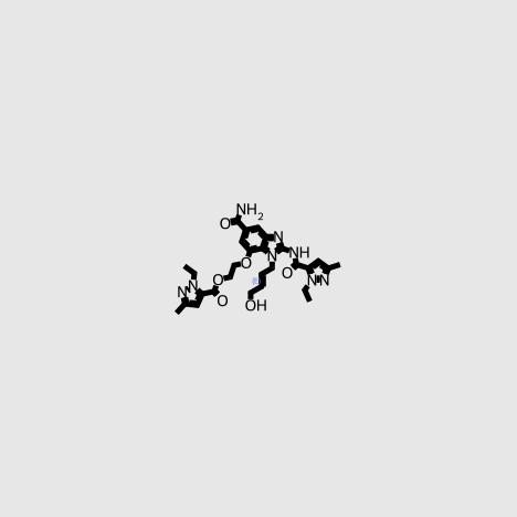 CCn1nc(C)cc1C(=O)Nc1nc2cc(C(N)=O)cc(OCCOC(=O)c3cc(C)nn3CC)c2n1C/C=C/CO